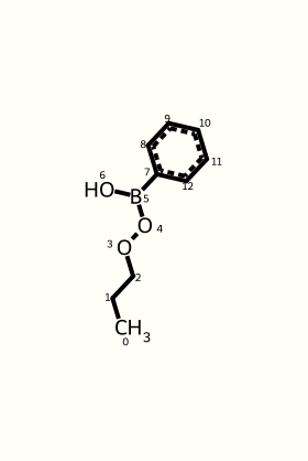 CCCOOB(O)c1ccccc1